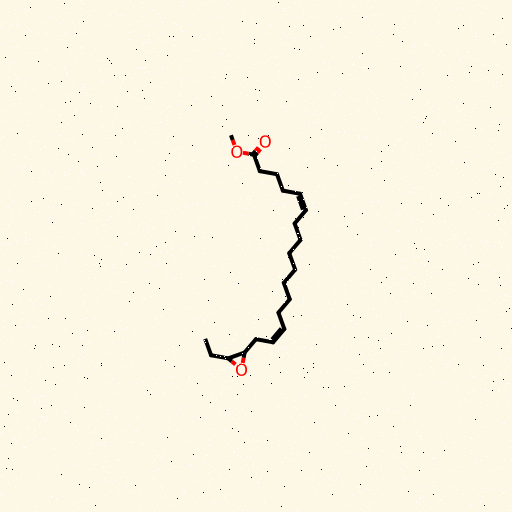 CCC1OC1C/C=C\CCCCCCC/C=C\CCCC(=O)OC